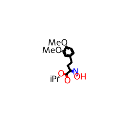 COc1ccc(CCC(=NO)C(=O)OC(C)C)cc1OC